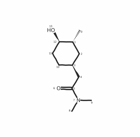 C[C@@H]1C[C@@H](CC(=O)N(C)C)CC[C@H]1O